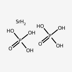 O=P(O)(O)O.O=P(O)(O)O.[SrH2]